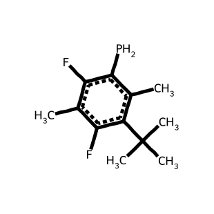 Cc1c(F)c(P)c(C)c(C(C)(C)C)c1F